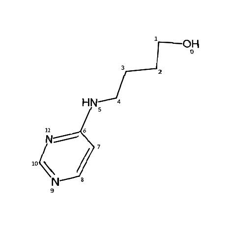 OCCCCNc1ccncn1